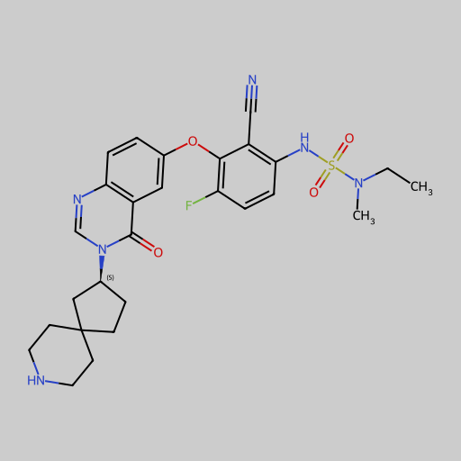 CCN(C)S(=O)(=O)Nc1ccc(F)c(Oc2ccc3ncn([C@H]4CCC5(CCNCC5)C4)c(=O)c3c2)c1C#N